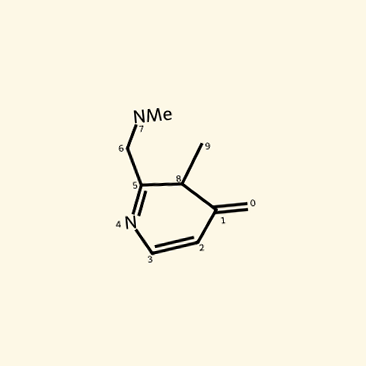 C=C1C=CN=C(CNC)C1C